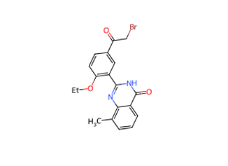 CCOc1ccc(C(=O)CBr)cc1-c1nc2c(C)cccc2c(=O)[nH]1